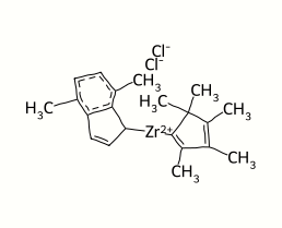 CC1=C(C)C(C)(C)[C]([Zr+2][CH]2C=Cc3c(C)ccc(C)c32)=C1C.[Cl-].[Cl-]